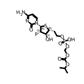 CC(C)OC(=O)OCOP(=O)(O)OCC[C@H]1S[C@@H](n2ccc(N)nc2=O)[C@@H](F)[C@@H]1O